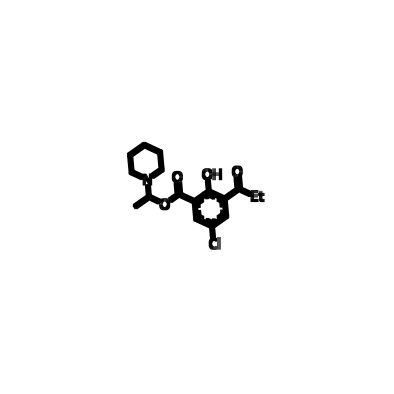 CCC(=O)c1cc(Cl)cc(C(=O)OC(C)N2CCCCC2)c1O